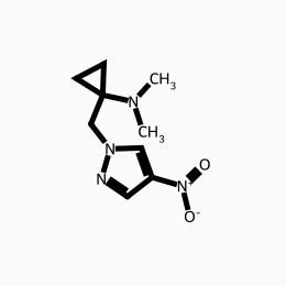 CN(C)C1(Cn2cc([N+](=O)[O-])cn2)CC1